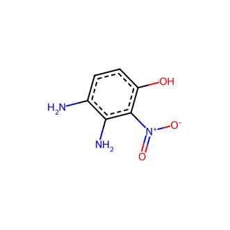 Nc1ccc(O)c([N+](=O)[O-])c1N